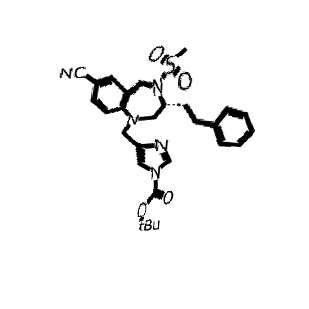 CC(C)(C)OC(=O)n1cnc(CN2C[C@@H](CCc3ccccc3)N(S(C)(=O)=O)Cc3cc(C#N)ccc32)c1